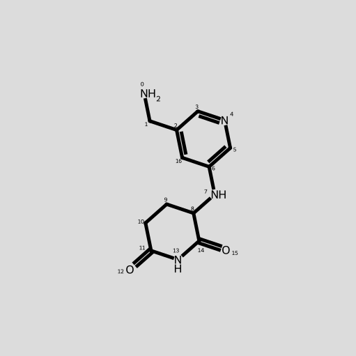 NCc1cncc(NC2CCC(=O)NC2=O)c1